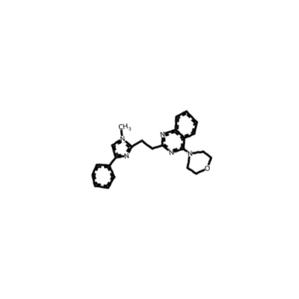 Cn1cc(-c2ccccc2)nc1CCc1nc(N2CCOCC2)c2ccccc2n1